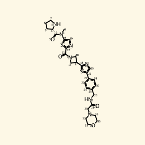 CN(C(=O)[C@@H]1CCCN1)c1cnc(C(=O)N2CC(c3ncc(-c4ccc(CNC(=O)CN5CCOCC5)cc4)s3)C2)s1